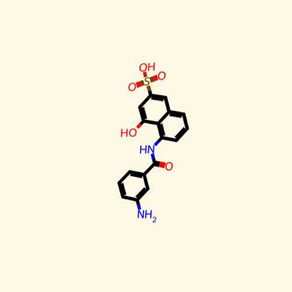 Nc1cccc(C(=O)Nc2cccc3cc(S(=O)(=O)O)cc(O)c23)c1